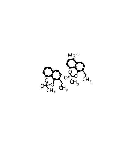 CCc1ccc2ccccc2c1OP(C)(=O)[O-].CCc1ccc2ccccc2c1OP(C)(=O)[O-].[Mg+2]